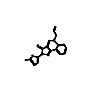 C=CCn1cc2c(=O)n(-c3ccc(C)s3)nc-2c2ccccc21